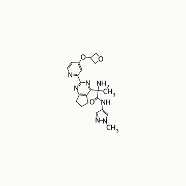 Cn1cc(NC(=O)C(C)(N)c2nc(-c3cc(OC4COC4)ccn3)nc3c2CCC3)cn1